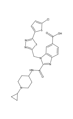 O=C(O)c1ccc2nc(C(=O)NC3CCN(C4CC4)CC3)n(Cc3nnc(-c4ccc(Cl)s4)s3)c2c1